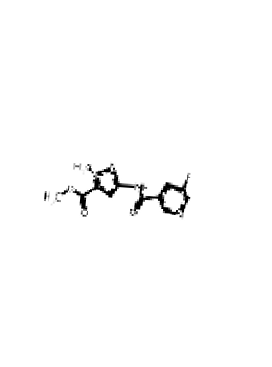 COC(=O)c1cc(NC(=O)c2cncc(F)c2)nn1C